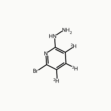 [2H]c1c(Br)nc(NN)c([2H])c1[2H]